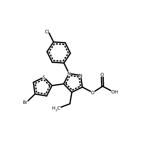 CCc1c(OC(=O)O)nn(-c2ccc(Cl)cc2)c1-c1cc(Br)cs1